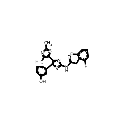 Cc1nc(C)c(-c2nc(NC(=O)Cc3c(F)cccc3F)sc2-c2cccc(O)c2)s1